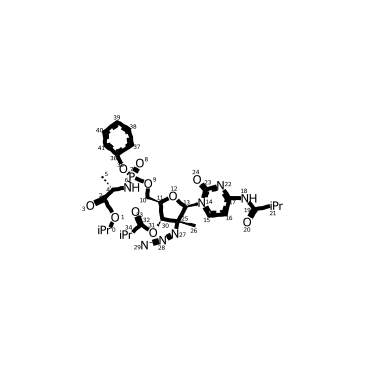 CC(C)OC(=O)[C@H](C)NP(=O)(OC[C@H]1O[C@@H](n2ccc(NC(=O)C(C)C)nc2=O)[C@](C)(N=[N+]=[N-])[C@@H]1OC(=O)C(C)C)Oc1ccccc1